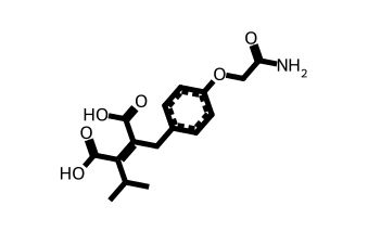 CC(C)/C(C(=O)O)=C(\Cc1ccc(OCC(N)=O)cc1)C(=O)O